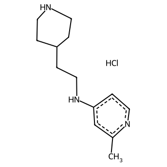 Cc1cc(NCCC2CCNCC2)ccn1.Cl